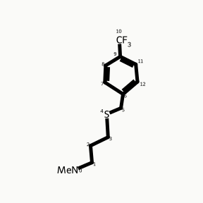 CNCCCSCc1ccc(C(F)(F)F)cc1